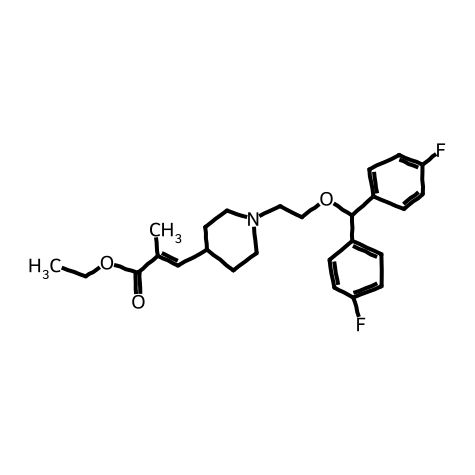 CCOC(=O)/C(C)=C/C1CCN(CCOC(c2ccc(F)cc2)c2ccc(F)cc2)CC1